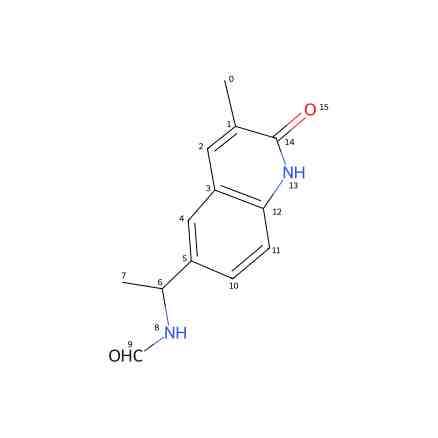 Cc1cc2cc(C(C)NC=O)ccc2[nH]c1=O